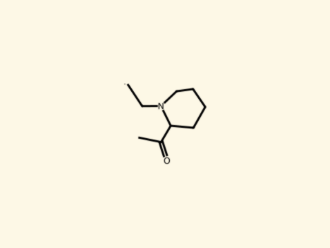 [CH2]CN1CCCCC1C(C)=O